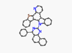 c1ccc(-c2nc(-n3c4ccccc4c4c5cccnc5c5sc6ccccc6c5c43)nc3c2ccc2ccccc23)cc1